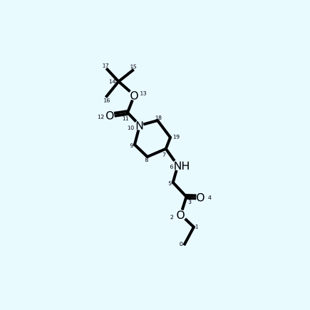 CCOC(=O)CNC1CCN(C(=O)OC(C)(C)C)CC1